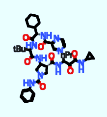 CCCC(NC(=O)[C@@H]1CN(C(=O)Nc2ccccc2)CC1NC(=O)C(NC(=O)[C@@H](NC(=O)c1cnccn1)C1CCCCC1)C(C)(C)C)C(=O)C(=O)NC1CC1